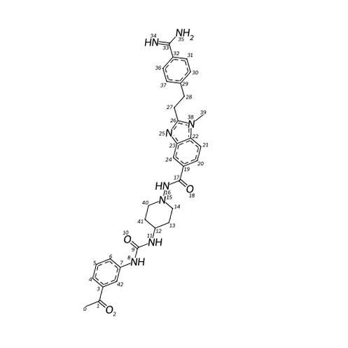 CC(=O)c1cccc(NC(=O)NC2CCN(NC(=O)c3ccc4c(c3)nc(CCc3ccc(C(=N)N)cc3)n4C)CC2)c1